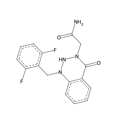 NC(=O)CN1NN(Cc2c(F)cccc2F)c2ccccc2C1=O